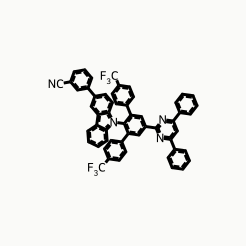 N#Cc1cccc(-c2ccc3c(c2)c2ccccc2n3-c2c(-c3ccc(C(F)(F)F)cc3)cc(-c3nc(-c4ccccc4)cc(-c4ccccc4)n3)cc2-c2ccc(C(F)(F)F)cc2)c1